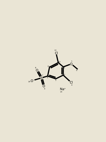 COc1c(Cl)cc(S(=O)(=O)[O-])cc1Cl.[Na+]